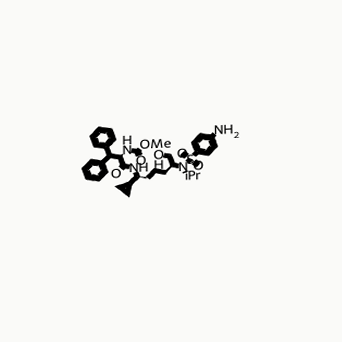 COC(=O)N[C@H](C(=O)N[C@H](CCC[C@@H](CO)N(C(C)C)S(=O)(=O)c1ccc(N)cc1)C1CC1)C(c1ccccc1)c1ccccc1